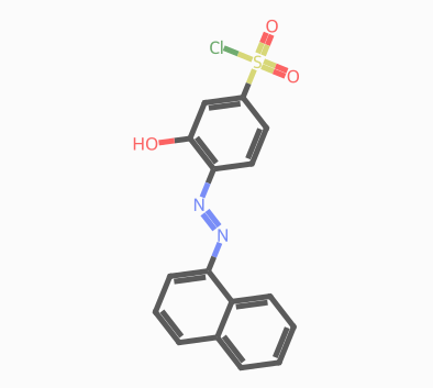 O=S(=O)(Cl)c1ccc(N=Nc2cccc3ccccc23)c(O)c1